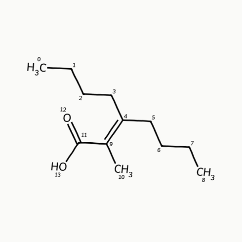 CCCCC(CCCC)=C(C)C(=O)O